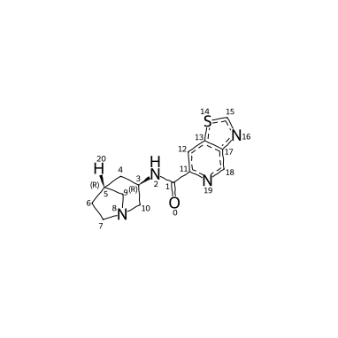 O=C(N[C@@H]1C[C@H]2CCN(C2)C1)c1cc2scnc2cn1